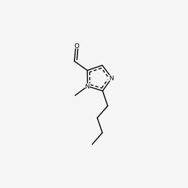 CCCCc1ncc(C=O)n1C